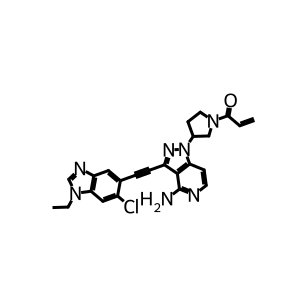 C=CC(=O)N1CCC(n2nc(C#Cc3cc4ncn(CC)c4cc3Cl)c3c(N)nccc32)C1